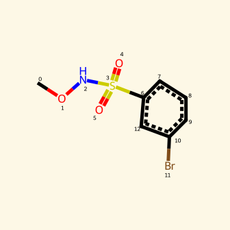 CONS(=O)(=O)c1cccc(Br)c1